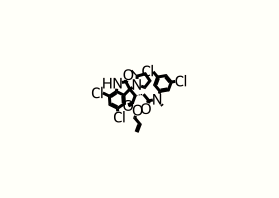 C=CCOC(=O)[C@@H](CC(=O)N(C)c1cc(Cl)cc(Cl)c1)C1(N2CCC[C@@H]2C)C(=O)Nc2c(Cl)cc(Cl)cc21